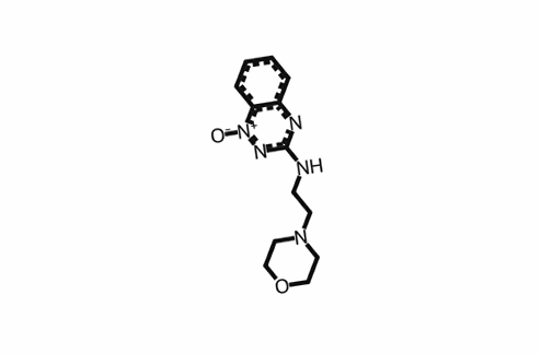 [O-][n+]1nc(NCCN2CCOCC2)nc2ccccc21